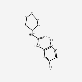 O=C(Nc1cc(Cl)ccc1O)NC1CCCCC1